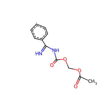 CC(=O)OCOC(=O)NC(=N)c1cc[c]cc1